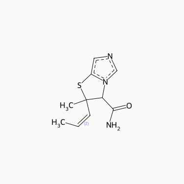 C/C=C\C1(C)Sc2cncn2C1C(N)=O